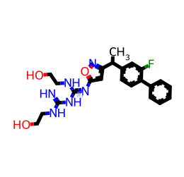 CC(c1ccc(-c2ccccc2)c(F)c1)c1cc(/N=C(\NCCO)NC(=N)NCCO)on1